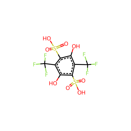 O=S(=O)(O)c1c(O)c(C(F)(F)F)c(S(=O)(=O)O)c(O)c1C(F)(F)F